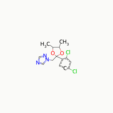 CC1OC(Cn2cncn2)(c2ccc(Cl)cc2Cl)OC1C